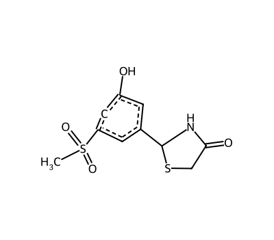 CS(=O)(=O)c1cc(O)cc(C2NC(=O)CS2)c1